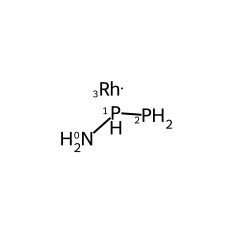 NPP.[Rh]